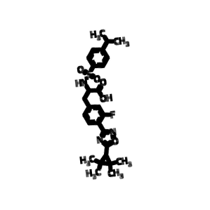 CC(C)c1ccc(S(=O)(=O)NC(Cc2ccc(-c3noc(C4C(C)(C)C4(C)C)n3)c(F)c2)C(=O)O)cc1